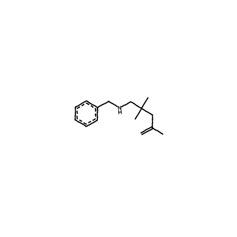 C=C(C)CC(C)(C)CNCc1ccccc1